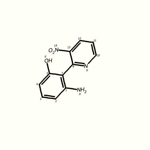 Nc1cccc(O)c1-c1ncccc1[N+](=O)[O-]